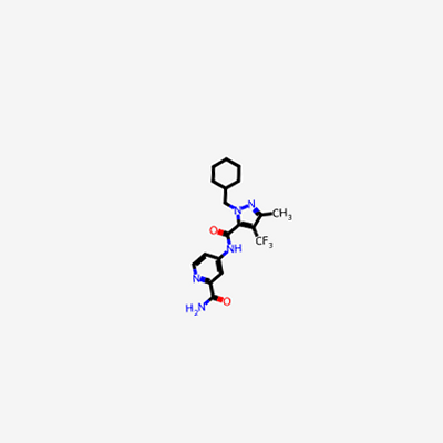 Cc1nn(CC2CCCCC2)c(C(=O)Nc2ccnc(C(N)=O)c2)c1C(F)(F)F